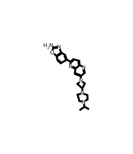 CC(C)N1CCN(C2CN(c3cnc4ccc(-c5ccc6oc(N)nc6c5)nc4c3)C2)CC1